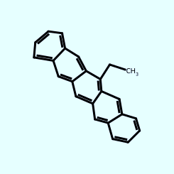 CCc1c2cc3ccccc3cc2cc2cc3ccccc3cc12